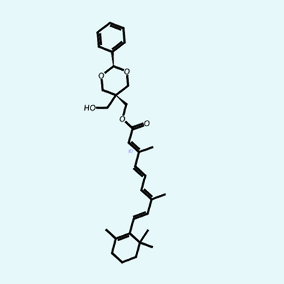 CC(C=CC1=C(C)CCCC1(C)C)=CC=C/C(C)=C/C(=O)OC[C@]1(CO)CO[C@H](c2ccccc2)OC1